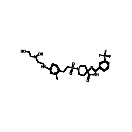 Cc1cc(NCCN(O)CCO)ccc1CCS(=O)(=O)N1CCC2(CC1)N=C(c1cccc(C(F)(F)F)c1)NC2=O